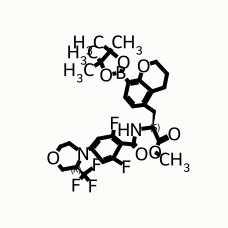 COC(=O)[C@H](Cc1ccc(B2OC(C)(C)C(C)(C)O2)c2c1CCCO2)NC(=O)c1c(F)cc(N2CCOC[C@@H]2C(F)(F)F)cc1F